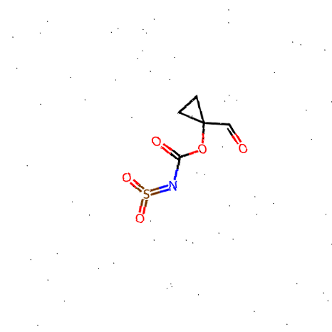 O=CC1(OC(=O)N=S(=O)=O)CC1